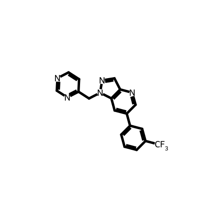 FC(F)(F)c1cccc(-c2cnc3cnn(Cc4ccncn4)c3c2)c1